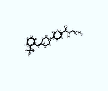 CCNC(=O)c1ccc(N2CCC(=Cc3ccccc3C(F)(F)F)CC2)cn1